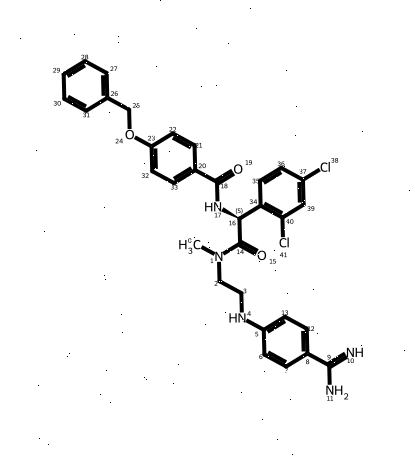 CN(CCNc1ccc(C(=N)N)cc1)C(=O)[C@@H](NC(=O)c1ccc(OCc2ccccc2)cc1)c1ccc(Cl)cc1Cl